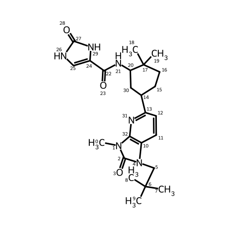 Cn1c(=O)n(CC(C)(C)C)c2ccc(C3CCC(C)(C)C(NC(=O)c4c[nH]c(=O)[nH]4)C3)nc21